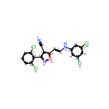 N#Cc1c(-c2c(Cl)cccc2Cl)noc1/C=C/Nc1cc(Cl)cc(Cl)c1